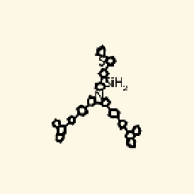 c1ccc2c(c1)cc(-c1ccc(-c3ccc(-c4ccc5c(c4)c4cc(-c6ccc(-c7ccc(-c8cc9ccccc9c9ccccc89)cc7)cc6)ccc4n5-c4ccc5c(c4)[SiH2]c4cc(-c6cccc7c6sc6ccccc67)ccc4-5)cc3)cc1)c1ccccc12